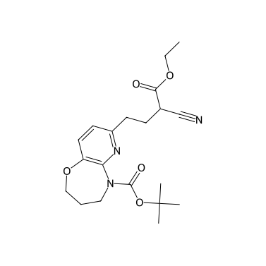 CCOC(=O)C(C#N)CCc1ccc2c(n1)N(C(=O)OC(C)(C)C)CCCO2